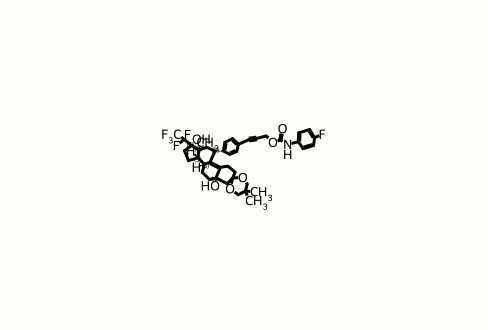 CC1(C)COC2(CCC3=C4[C@@H](CC[C@@]3(O)C2)[C@@H]2CC[C@@](O)(C(F)(F)C(F)(F)F)[C@@]2(C)C[C@@H]4c2ccc(C#CCOC(=O)Nc3ccc(F)cc3)cc2)OC1